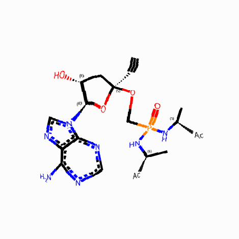 C#C[C@@]1(OCP(=O)(N[C@@H](C)C(C)=O)N[C@@H](C)C(C)=O)C[C@@H](O)[C@H](n2cnc3c(N)ncnc32)O1